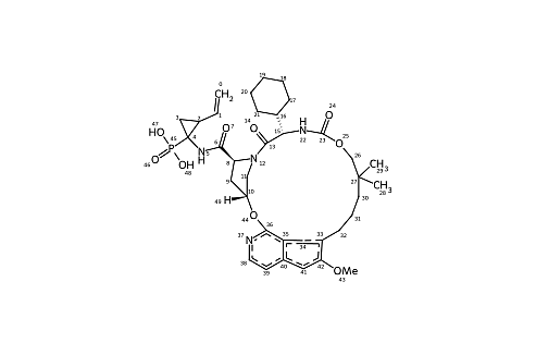 C=CC1CC1(NC(=O)[C@@H]1C[C@@H]2CN1C(=O)[C@H](C1CCCCC1)NC(=O)OCC(C)(C)CCCc1cc3c(nccc3cc1OC)O2)P(=O)(O)O